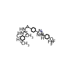 Cc1cc(C)c(NC(=S)NC2CC2c2ccc(C(=N)/N=C\Nc3ccc(OC(F)(F)F)cc3)cc2)c(C)c1